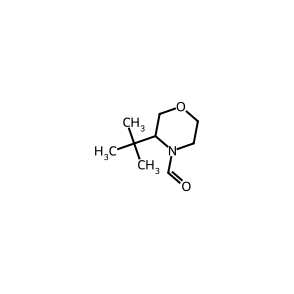 CC(C)(C)C1COCCN1C=O